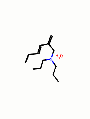 C=C(C=CCC)CN(CCC)CCC.O